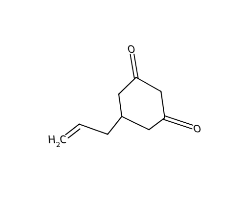 C=CCC1CC(=O)CC(=O)C1